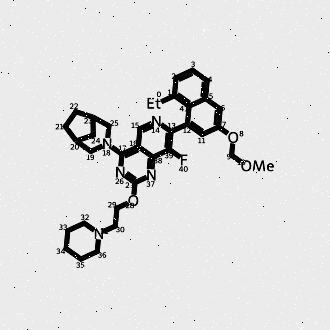 CCc1cccc2cc(OCOC)cc(-c3ncc4c(N5CC6CCC(C6)C5)nc(OCCN5CCCCC5)nc4c3F)c12